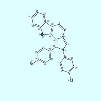 Clc1ccc(-n2c[n+]3ccc4c5ccccc5[nH]c4c3c2-c2ccc(Br)cc2)cc1